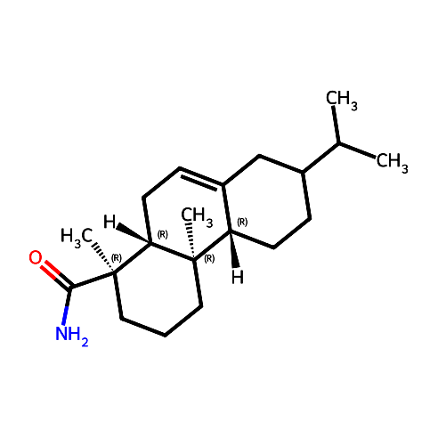 CC(C)C1CC[C@H]2C(=CC[C@@H]3[C@]2(C)CCC[C@@]3(C)C(N)=O)C1